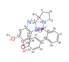 COc1cc2nc(C3(C)CCCN3C(=O)c3ccccc3-c3ccc(C)cc3)[nH]c2cc1OC